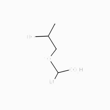 [CH2]C(O)COC(CC)C(=O)O